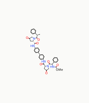 COC(=O)N[C@@H](C(=O)N1CC(=O)C[C@H]1C(=O)Nc1ccc(-c2ccc(NC(=O)[C@@H]3CC(=O)CN3C(=O)[C@H](C)c3ccccc3)cc2)cc1)c1ccccc1